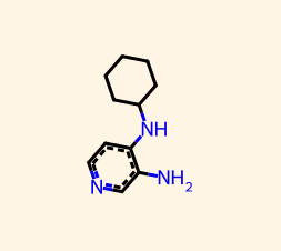 Nc1cnccc1NC1CCCCC1